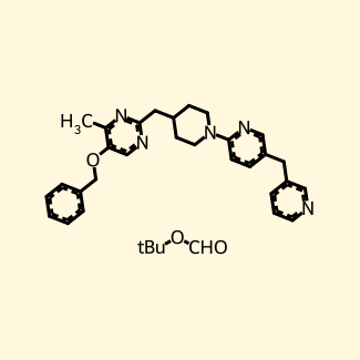 CC(C)(C)OC=O.Cc1nc(CC2CCN(c3ccc(Cc4cccnc4)cn3)CC2)ncc1OCc1ccccc1